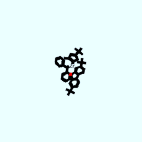 CC1=[C]([Zr](=[C](c2ccccc2)c2ccccc2)[c]2c(C(C)(C)C)ccc3c2Cc2cc(C(C)(C)C)ccc2-3)CC(C(C)(C)C)=C1